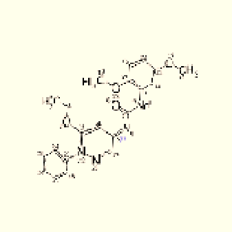 CCOc1c/c(=N\C(=O)Nc2cc(OC)ccc2OC)cnn1-c1ccccc1